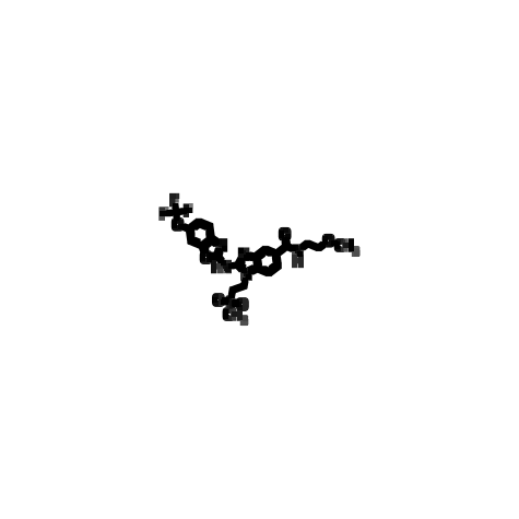 COCCNC(=O)c1ccc2c(c1)nc(Nc1nc3ccc(OC(F)(F)F)cc3o1)n2CCS(C)(=O)=O